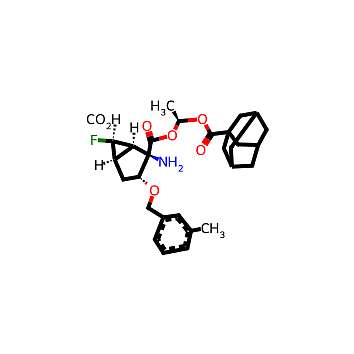 Cc1cccc(CO[C@@H]2C[C@@H]3[C@H]([C@]2(N)C(=O)O[C@@H](C)OC(=O)C24CC5CC(CC(C5)C2)C4)[C@@]3(F)C(=O)O)c1